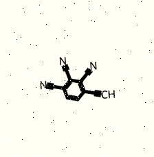 C#Cc1ccc(C#N)c(C#N)c1C#N